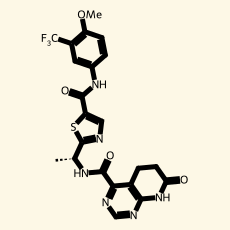 COc1ccc(NC(=O)c2cnc([C@@H](C)NC(=O)c3ncnc4c3CCC(=O)N4)s2)cc1C(F)(F)F